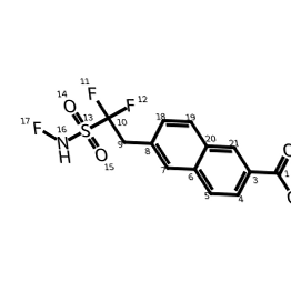 O=C(O)c1ccc2cc(CC(F)(F)S(=O)(=O)NF)ccc2c1